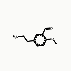 COc1ccc(CCN)cc1C=O